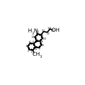 Cc1cccc2c1ccc1cc(CCCO)c(N)cc12